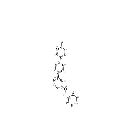 Cc1ccc(-c2ccc(-c3nccc(OC[C@H]4CCCCO4)n3)cc2)cn1